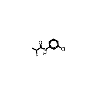 CC(F)C(=O)Nc1cccc(Cl)c1